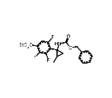 CCOC(=O)c1cc(F)c(C2(NC(=O)OCc3ccccc3)CC2C)c(F)c1F